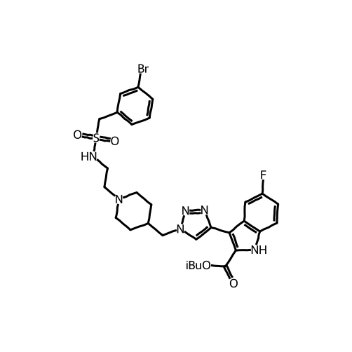 CC(C)COC(=O)c1[nH]c2ccc(F)cc2c1-c1cn(CC2CCN(CCNS(=O)(=O)Cc3cccc(Br)c3)CC2)nn1